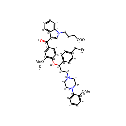 COc1cc(C(=O)c2cn(CCCC(=O)[O-])c3ccccc23)ccc1OC(CCN1CCN(c2ccccc2OC)CC1)c1ccc(CC(C)C)cc1.[K+]